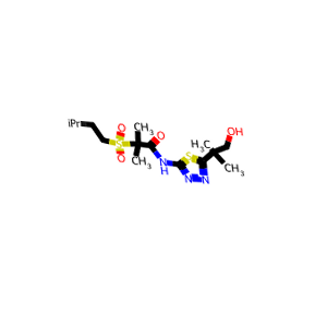 CC(C)CCS(=O)(=O)C(C)(C)C(=O)Nc1nnc(C(C)(C)CO)s1